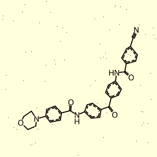 N#Cc1ccc(C(=O)Nc2ccc(C(=O)c3ccc(NC(=O)c4ccc(N5CCOCC5)cc4)cc3)cc2)cc1